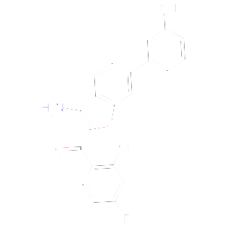 Cc1cccc(-c2ccc3c(N)c(C(=O)c4ccc(F)cc4Cl)oc3c2)c1